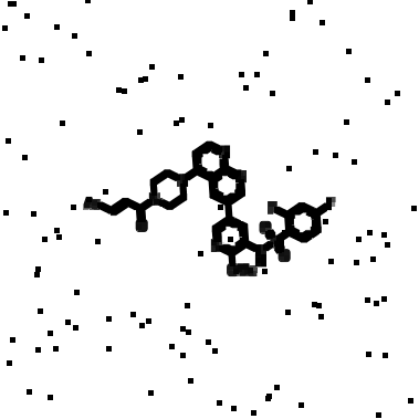 COc1ncc(-c2cnc3nccc(N4CCN(C(=O)C=CC(C)=O)CC4)c3c2)cc1NS(=O)(=O)c1ccc(F)cc1F